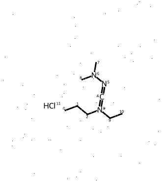 CCC[N+](=C=NN(C)C)CC.Cl